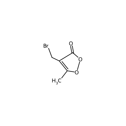 Cc1ooc(=O)c1CBr